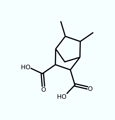 CC1C(C)C2CC1C(C(=O)O)C2C(=O)O